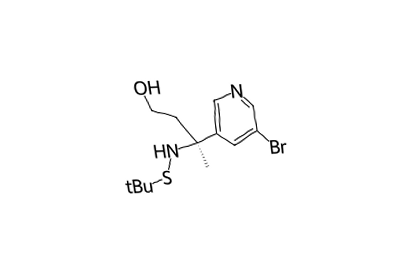 CC(C)(C)SN[C@@](C)(CCO)c1cncc(Br)c1